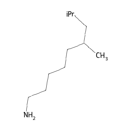 CC(C)CC(C)CCCCCN